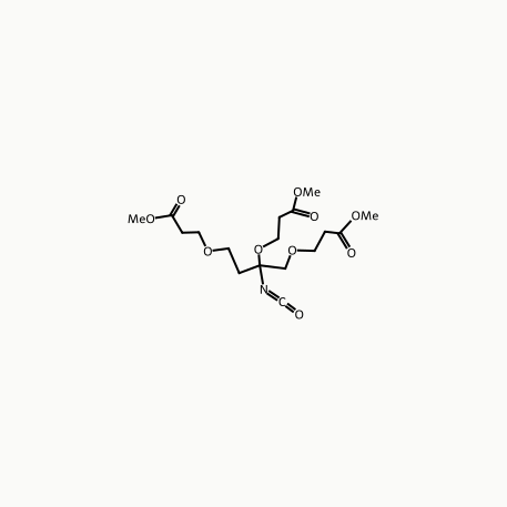 COC(=O)CCOCCC(COCCC(=O)OC)(N=C=O)OCCC(=O)OC